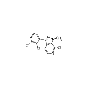 Cn1nc(-c2cccc(Cl)c2Cl)c2ccnc(Cl)c21